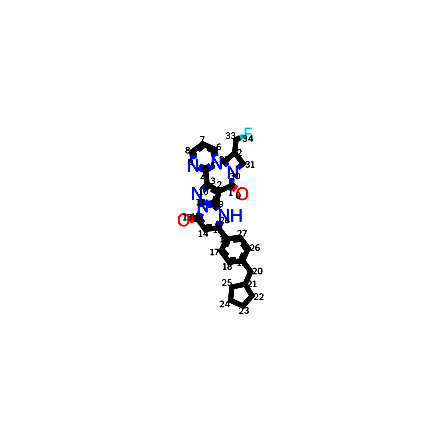 O=C(c1c(-c2ncccn2)nn2c(=O)cc(-c3ccc(CC4CCCC4)cc3)[nH]c12)N1CC(CF)C1